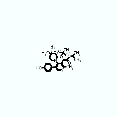 Cc1ncc(-c2ccc(O)cc2)c(N2CCC(C)(C)CC2)c1[C@H](OC(C)(C)C)C(=O)OC(C)C